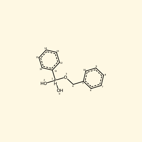 O[PH](O)(OCc1ccccc1)c1ccccc1